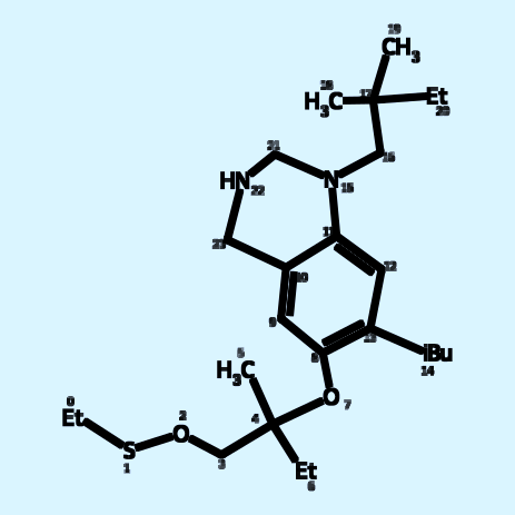 CCSOCC(C)(CC)Oc1cc2c(cc1C(C)CC)N(CC(C)(C)CC)CNC2